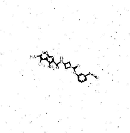 Cc1nnc2sc(C(=O)NC3CN(C(=O)Oc4cccc(N=[N+]=[N-])c4)C3)c(N)c2c1C